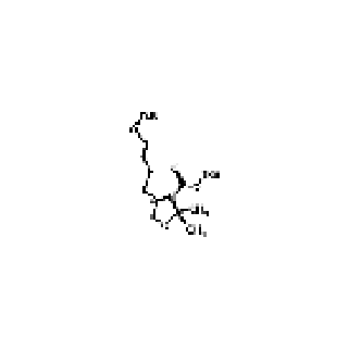 CCCCOCCCC[C@@H]1COC(C)(C)N1C(=O)OC(C)(C)C